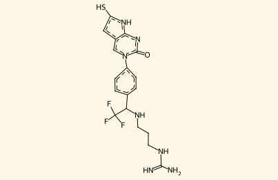 N=C(N)NCCCNC(c1ccc(-n2cc3cc(S)[nH]c3nc2=O)cc1)C(F)(F)F